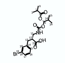 CC(C)C(=O)O[C@@H](OC(=O)NC[C@H](Cc1cccc(Br)c1)C(=O)O)C(C)C